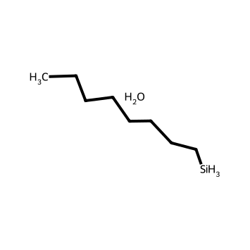 CCCCCCCC[SiH3].O